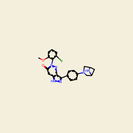 COc1cccc(F)c1-n1nc2c(-c3ccc(N4CC5CC(C4)N5)cc3)n[nH]c2cc1=O